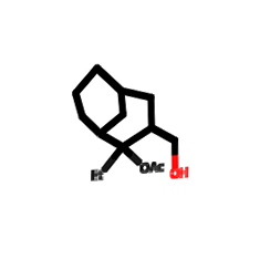 CCC1(OC(C)=O)C(CO)CC2CCCC1C2